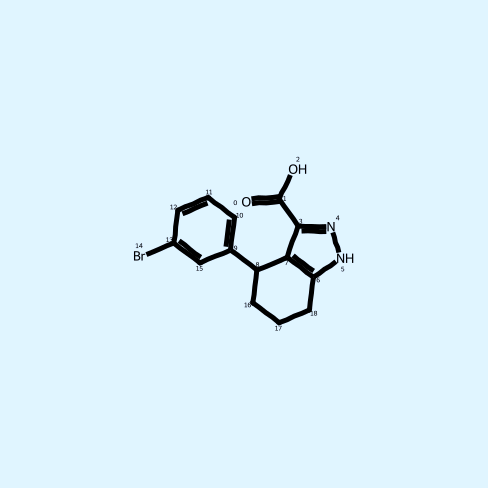 O=C(O)c1n[nH]c2c1C(c1cccc(Br)c1)CCC2